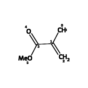 [CH]C(=C)C(=O)OC